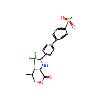 CC(C)C[C@H](N[C@@H](c1ccc(-c2ccc(S(C)(=O)=O)cc2)cc1)C(F)(F)F)C(=O)O